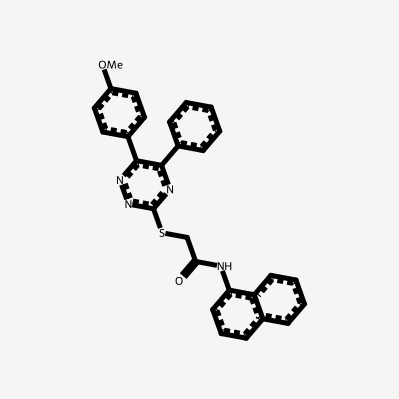 COc1ccc(-c2nnc(SCC(=O)Nc3cccc4ccccc34)nc2-c2ccccc2)cc1